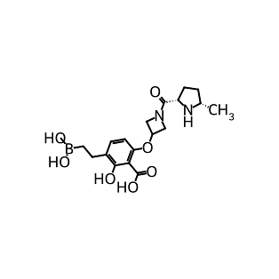 C[C@H]1CC[C@@H](C(=O)N2CC(Oc3ccc(CCB(O)O)c(O)c3C(=O)O)C2)N1